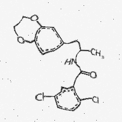 CC(Cc1ccc2c(c1)OCCO2)NC(=O)c1cc(Cl)ccc1Cl